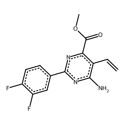 C=Cc1c(N)nc(-c2ccc(F)c(F)c2)nc1C(=O)OC